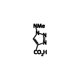 CNn1cc(C(=O)O)nn1